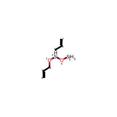 C=CCO[SiH](CC=C)O[SiH3]